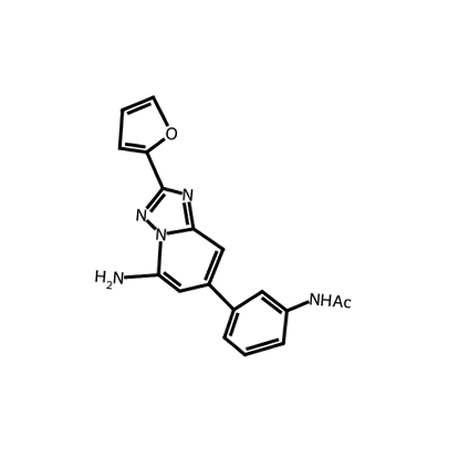 CC(=O)Nc1cccc(-c2cc(N)n3nc(-c4ccco4)nc3c2)c1